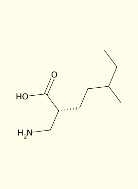 CCC(C)CC[C@H](CN)C(=O)O